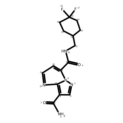 NC(=O)c1cnn2c(C(=O)NCC3CCC(F)(F)CC3)ccnc12